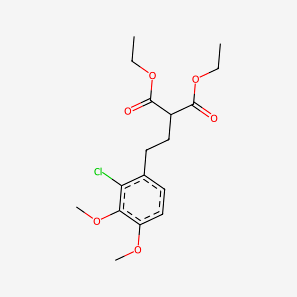 CCOC(=O)C(CCc1ccc(OC)c(OC)c1Cl)C(=O)OCC